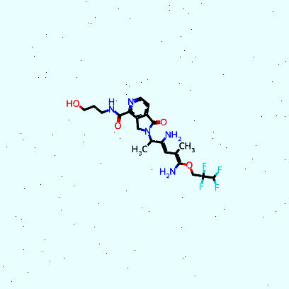 CC(/C=C(\N)C(C)N1Cc2c(ccnc2C(=O)NCCCO)C1=O)=C(/N)OCC(F)(F)C(F)F